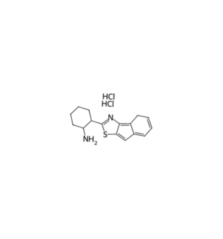 Cl.Cl.NC1CCCCC1c1nc2c(s1)=CC1=CC=CCC=21